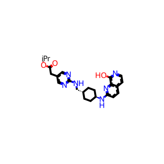 CC(C)OC(=O)Cc1cnc(NC[C@H]2CC[C@H](Nc3ccc4ccnc(O)c4n3)CC2)nc1